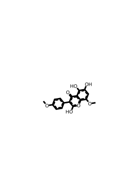 COc1ccc(-c2c(O)oc3c(OC)cc(O)c(O)c3c2=O)cc1